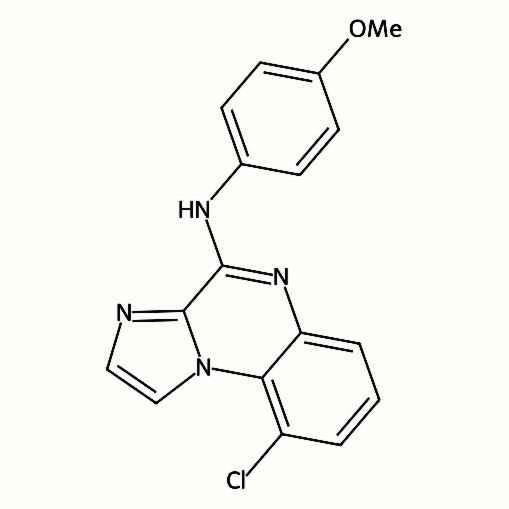 COc1ccc(Nc2nc3cccc(Cl)c3n3ccnc23)cc1